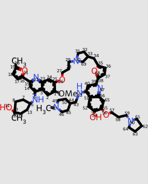 COc1cc2c(NC3CCC(C)(O)CC3)cc(-c3ccc(C)o3)nc2cc1OCCCN1CCC(Cc2ccc(-c3cc(NCC4CCN(C)CC4)c4cc(O)c(OCCCN5CCCC5)cc4n3)o2)C1